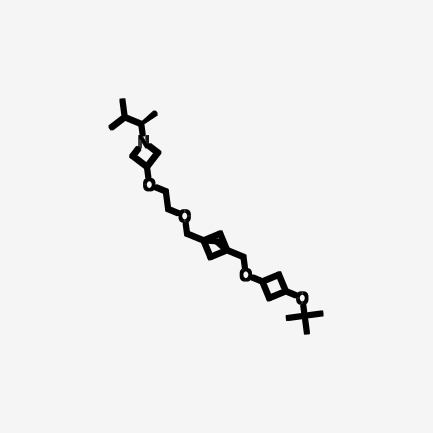 CC(C)[C@@H](C)N1CC(OCCOCC23CC(COC4CC(OC(C)(C)C)C4)(C2)C3)C1